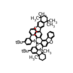 CC(C)(C)c1ccc(N2B3c4cc(C(C)(C)C)cc5c4N(c4cc6oc7ccccc7c6c(c43)-c3cc4c(cc32)sc2cc3c(cc24)C(C)(C)CCC3(C)C)C2(C)CCCCC52C)c(-c2ccccc2)c1